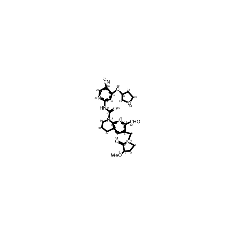 COC1CCN(Cc2cc3c(nc2C=O)N(C(=O)Nc2cc(OC4CCOC4)c(C#N)cn2)CCC3)C1=O